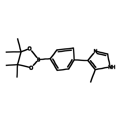 Cc1[nH]cnc1-c1ccc(B2OC(C)(C)C(C)(C)O2)cc1